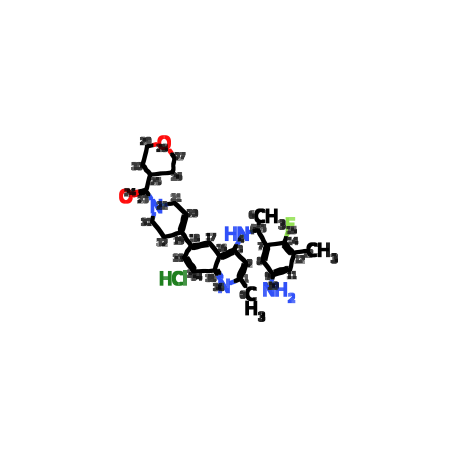 Cc1cc(N[C@H](C)c2cc(N)cc(C)c2F)c2cc(C3=CCN(C(=O)C4CCOCC4)CC3)ccc2n1.Cl